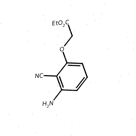 CCOC(=O)COc1cccc(N)c1C#N